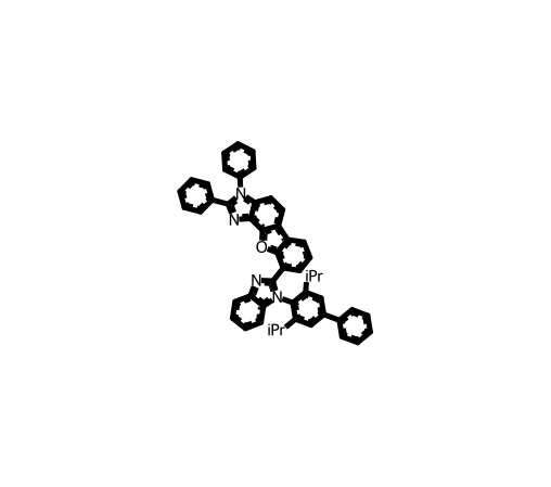 CC(C)c1cc(-c2ccccc2)cc(C(C)C)c1-n1c(-c2cccc3c2oc2c3ccc3c2nc(-c2ccccc2)n3-c2ccccc2)nc2ccccc21